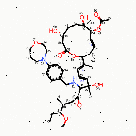 CC[C@H](OC)[C@@H](C)[C@H]1O[C@@H]1C(NCc1ccc(N2CCCOCC2)cc1)C(C)(O)/C=C/C=C(\C)C1OC(=O)C[C@H](O)CC[C@@](C)(O)[C@@H](OC(C)=O)/C=C/[C@@H]1C